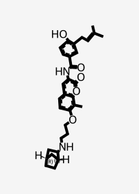 CC(C)=CCc1cc(C(=O)Nc2cc3ccc(OCCCNC4C[C@@H]5CC[C@@H]4C5)c(C)c3oc2=O)ccc1O